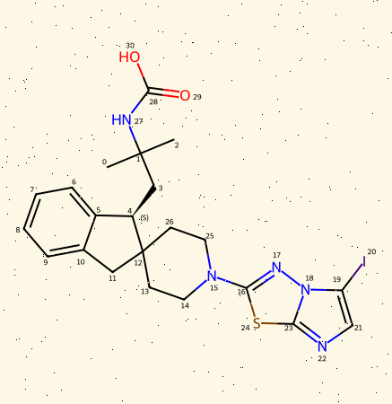 CC(C)(C[C@@H]1c2ccccc2CC12CCN(c1nn3c(I)cnc3s1)CC2)NC(=O)O